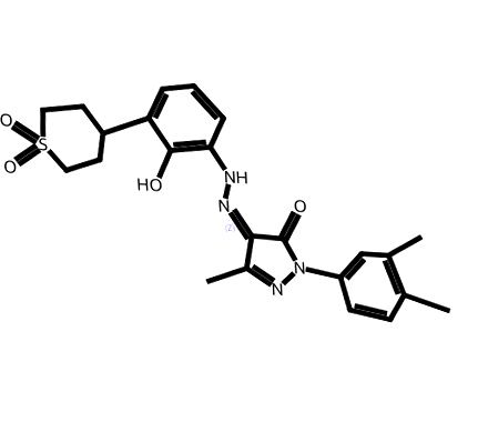 CC1=NN(c2ccc(C)c(C)c2)C(=O)/C1=N\Nc1cccc(C2CCS(=O)(=O)CC2)c1O